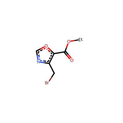 CCOC(=O)c1ocnc1CBr